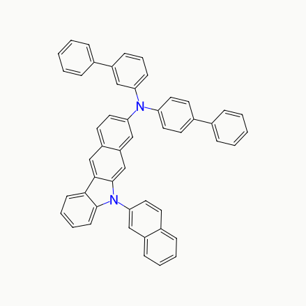 c1ccc(-c2ccc(N(c3cccc(-c4ccccc4)c3)c3ccc4cc5c6ccccc6n(-c6ccc7ccccc7c6)c5cc4c3)cc2)cc1